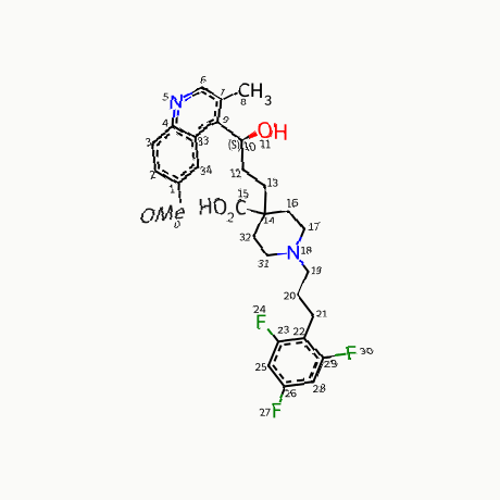 COc1ccc2ncc(C)c([C@@H](O)CCC3(C(=O)O)CCN(CCCc4c(F)cc(F)cc4F)CC3)c2c1